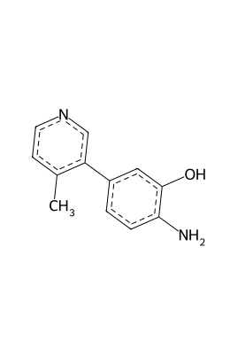 Cc1ccncc1-c1ccc(N)c(O)c1